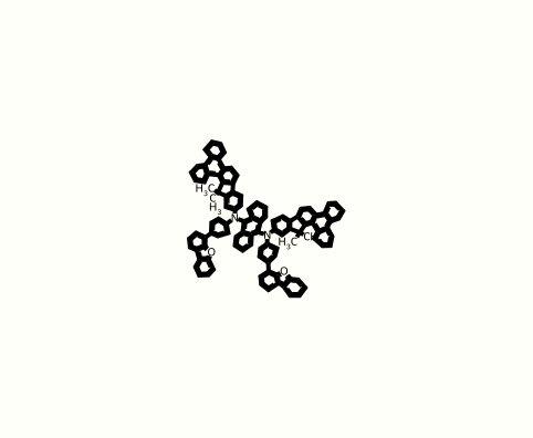 CC1(C)c2cc(N(c3ccc(-c4cccc5c4oc4ccccc45)cc3)c3c4ccccc4c(N(c4ccc(-c5cccc6c5oc5ccccc56)cc4)c4ccc5c(c4)C(C)(C)c4c-5ccc5c6ccccc6c6ccccc6c45)c4ccccc34)ccc2-c2ccc3c4ccccc4c4ccccc4c3c21